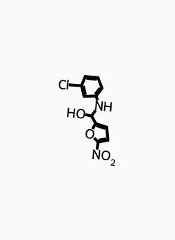 O=[N+]([O-])c1ccc(C(O)Nc2cccc(Cl)c2)o1